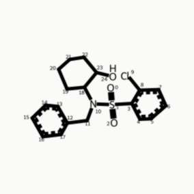 O=S(=O)(c1ccccc1Cl)N(Cc1ccccc1)C1CCCCC1O